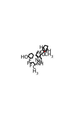 CC(=O)N1[C@@H]2CC[C@H]1C[C@H](Oc1ncc([C@H]3CC[C@H](O)CC3)c3nc(N[C@@H](C)CC(F)(F)F)ncc13)C2